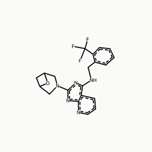 FC(F)(F)c1ccccc1CNc1nc(N2CC3CC(C2)O3)nc2ncccc12